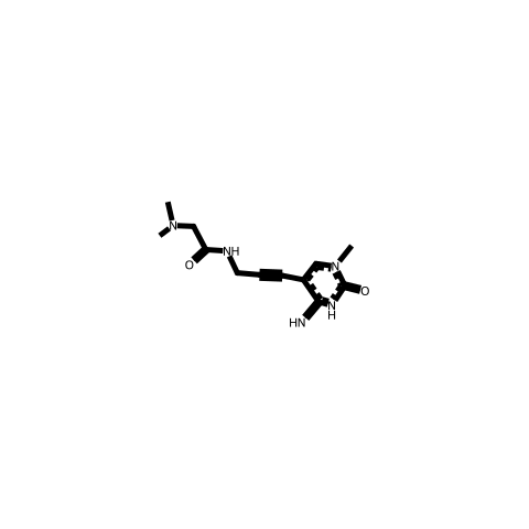 CN(C)CC(=O)NCC#Cc1cn(C)c(=O)[nH]c1=N